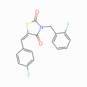 O=C1SC(=Cc2ccc(F)cc2)C(=O)N1Cc1ccccc1F